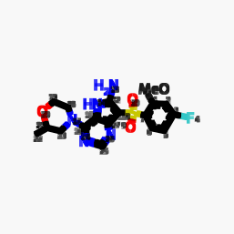 COc1cc(F)ccc1S(=O)(=O)c1c(N)[nH]c2c(N3CCOC(C)C3)ncnc12